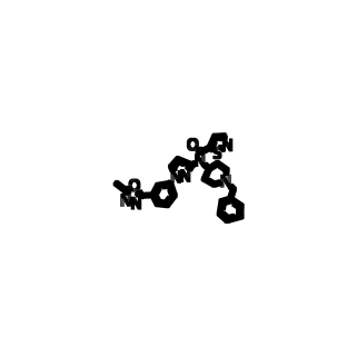 Cc1nnc(-c2cccc(-n3ccc(N(C(=O)c4ccns4)C4CCN(Cc5ccccc5)CC4)n3)c2)o1